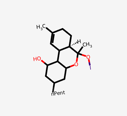 CCCCCC1CC(O)C2C(C1)OC(C)(OI)[C@@H]1CCC(C)=CC21